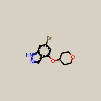 Brc1cc(OC2CCOCC2)c2cn[nH]c2c1